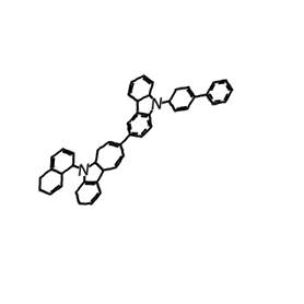 C1=CC2c3cc(C4=CCC5C(C=C4)C4=C(CCC=C4)N5C4C=CC=C5CCC=CC54)ccc3N(C3C=CC(c4ccccc4)=CC3)C2C=C1